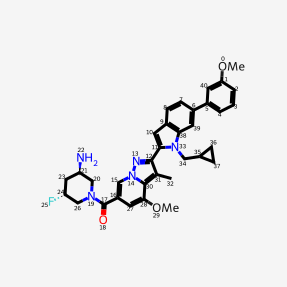 COc1cccc(-c2ccc3cc(-c4nn5cc(C(=O)N6C[C@H](N)C[C@@H](F)C6)cc(OC)c5c4C)n(CC4CC4)c3c2)c1